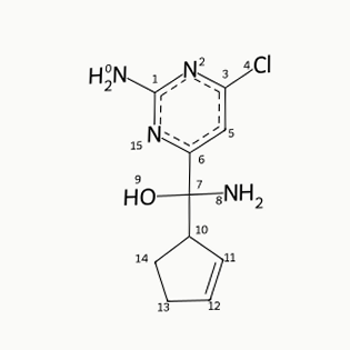 Nc1nc(Cl)cc(C(N)(O)C2C=CCC2)n1